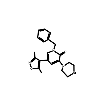 Cc1noc(C)c1-c1cc(N2CCNCC2)c(=O)n(Cc2ccccc2)c1